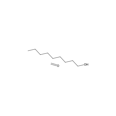 C=O.CCCCCCCCCO